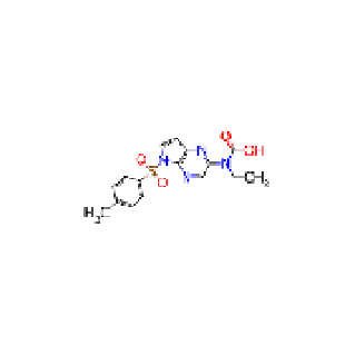 CCN(C(=O)O)c1cnc2c(ccn2S(=O)(=O)c2ccc(C)cc2)n1